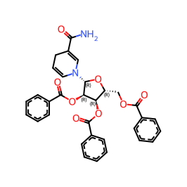 NC(=O)C1=CN([C@@H]2O[C@H](COC(=O)c3ccccc3)[C@@H](OC(=O)c3ccccc3)[C@H]2OC(=O)c2ccccc2)C=CC1